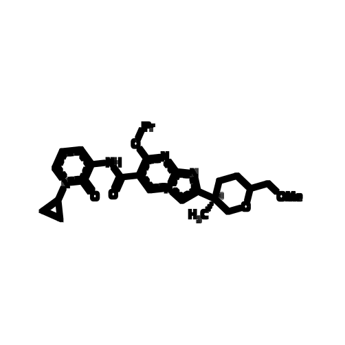 COCC1CC[C@](C)(c2cn3cc(C(=O)Nc4cccn(C5CC5)c4=O)c(OC(C)C)nc3n2)CO1